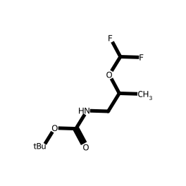 CC(CNC(=O)OC(C)(C)C)OC(F)F